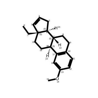 CC[C@@]12C=CC[C@H]1[C@@H]1CCc3c[c]c(OC)cc3[C@H]1CC2